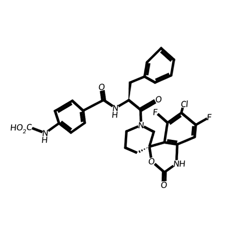 O=C(O)Nc1ccc(C(=O)N[C@@H](Cc2ccccc2)C(=O)N2CCC[C@@]3(C2)OC(=O)Nc2cc(F)c(Cl)c(F)c23)cc1